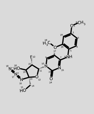 COc1ccc(Nc2ccn([C@@H]3O[C@@](CO)(N=[N+]=[N-])C(O)[C@@H]3F)c(=O)n2)c(OC)c1